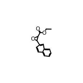 CCOC(=O)C1OC1c1ccc2ccccc2c1